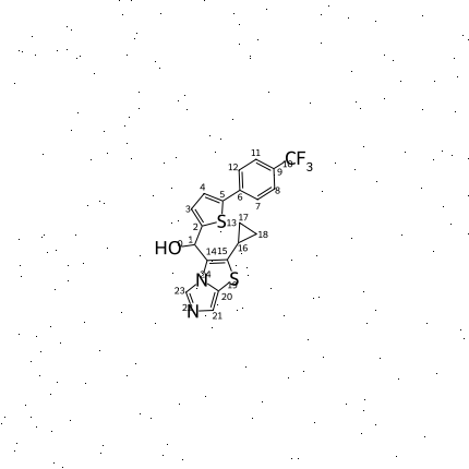 OC(c1ccc(-c2ccc(C(F)(F)F)cc2)s1)c1c(C2CC2)sc2cncn12